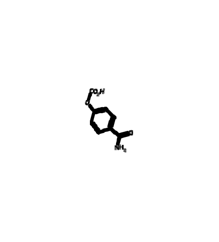 NC(=O)c1ccc(OC(=O)O)cc1